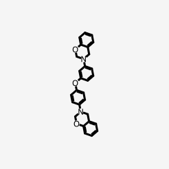 c1cc(Oc2ccc(N3COc4ccccc4C3)cc2)cc(N2COc3ccccc3C2)c1